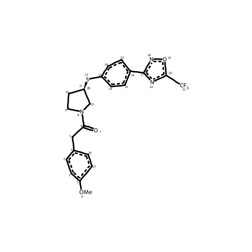 COc1ccc(CC(=O)N2CC[C@@H](Sc3ccc(-c4noc(C(F)(F)F)n4)cc3)C2)cc1